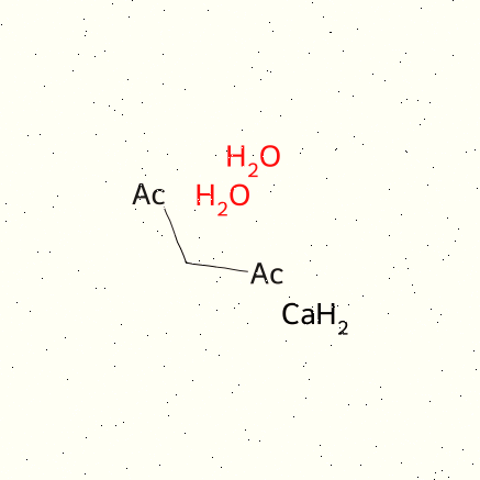 CC(=O)CC(C)=O.O.O.[CaH2]